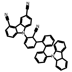 N#Cc1ccc2c(c1)c1c(C#N)cccc1n2C1=CC=CC(c2ccccc2-c2ccccc2N2c3ccccc3C3C=CC=CC32)C1C#N